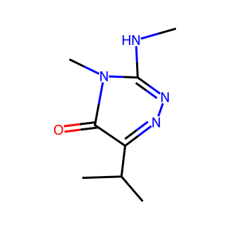 CNc1nnc(C(C)C)c(=O)n1C